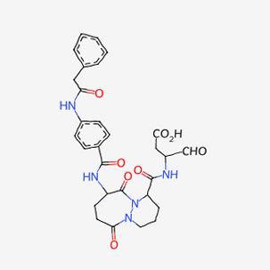 O=CC(CC(=O)O)NC(=O)C1CCCN2C(=O)CCC(NC(=O)c3ccc(NC(=O)Cc4ccccc4)cc3)C(=O)N12